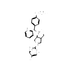 COc1ccc(CN2OCC3CN(c4ncc(F)cn4)C[C@@]32c2cccnc2)cc1